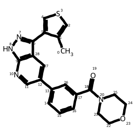 Cc1cscc1-c1n[nH]c2ncc(-c3cccc(C(=O)N4CCOCC4)c3)cc12